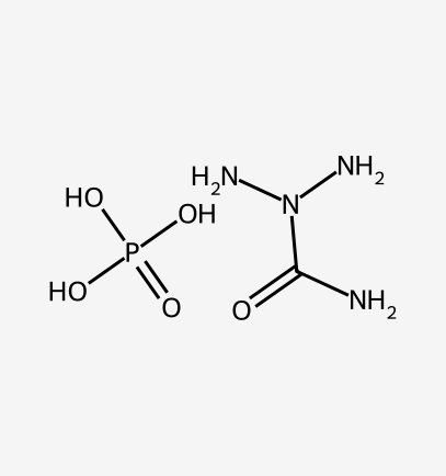 NC(=O)N(N)N.O=P(O)(O)O